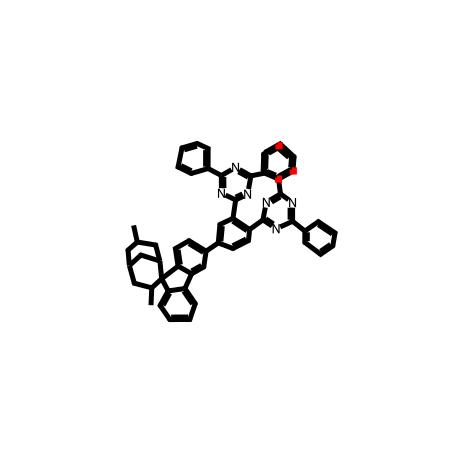 CC1CC2CC(C)C3(c4ccccc4-c4cc(-c5ccc(-c6nc(-c7ccccc7)nc(-c7ccccc7)n6)c(-c6nc(-c7ccccc7)nc(-c7ccccc7)n6)c5)ccc43)C(C1)C2